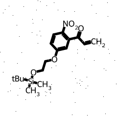 C=CC(=O)c1cc(OCCO[Si](C)(C)C(C)(C)C)ccc1[N+](=O)[O-]